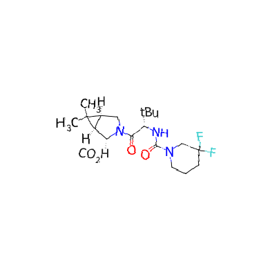 CC(C)(C)[C@H](NC(=O)N1CCCC(F)(F)C1)C(=O)N1C[C@H]2[C@@H]([C@H]1C(=O)O)C2(C)C